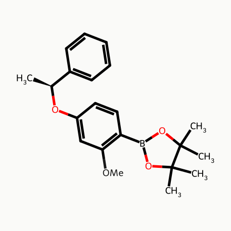 COc1cc(O[C@@H](C)c2ccccc2)ccc1B1OC(C)(C)C(C)(C)O1